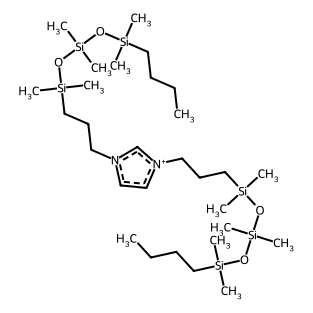 CCCC[Si](C)(C)O[Si](C)(C)O[Si](C)(C)CCCn1cc[n+](CCC[Si](C)(C)O[Si](C)(C)O[Si](C)(C)CCCC)c1